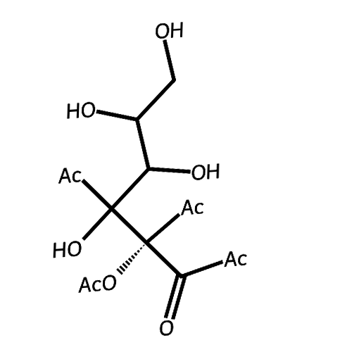 CC(=O)O[C@](C(C)=O)(C(=O)C(C)=O)C(O)(C(C)=O)C(O)C(O)CO